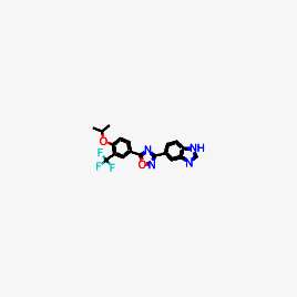 CC(C)Oc1ccc(-c2nc(-c3ccc4[nH]cnc4c3)no2)cc1C(F)(F)F